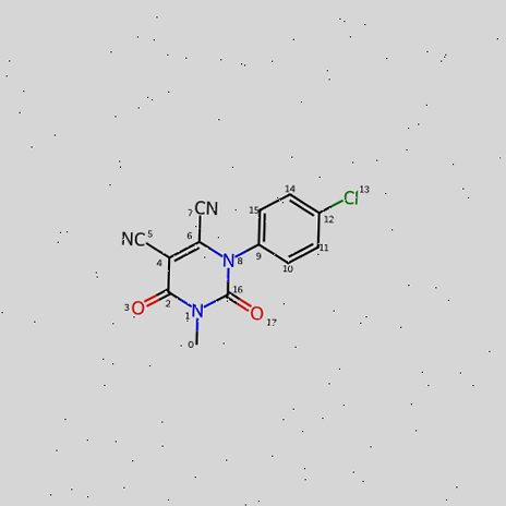 Cn1c(=O)c(C#N)c(C#N)n(-c2ccc(Cl)cc2)c1=O